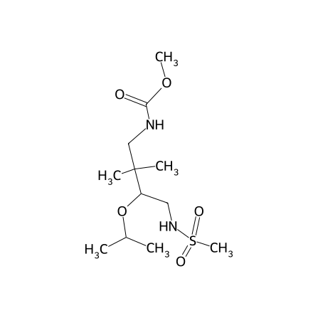 COC(=O)NCC(C)(C)C(CNS(C)(=O)=O)OC(C)C